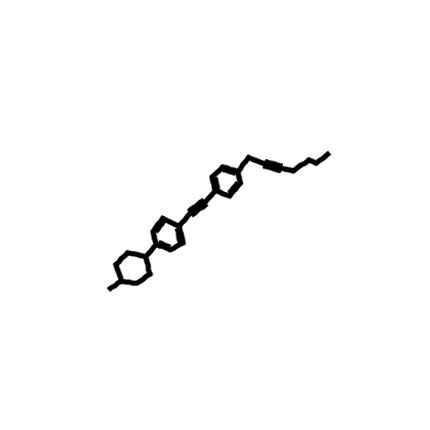 CCCCC#CCc1ccc(C#Cc2ccc(C3CCC(C)CC3)cc2)cc1